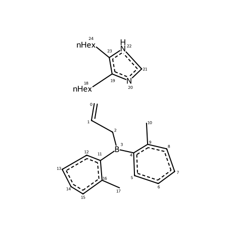 C=CCB(c1ccccc1C)c1ccccc1C.CCCCCCc1nc[nH]c1CCCCCC